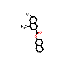 Cc1ccc2cc(C(=O)Oc3ccc4ccccc4c3)cc(C)c2c1